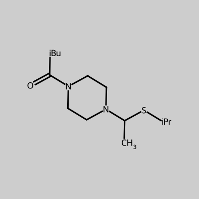 CCC(C)C(=O)N1CCN(C(C)SC(C)C)CC1